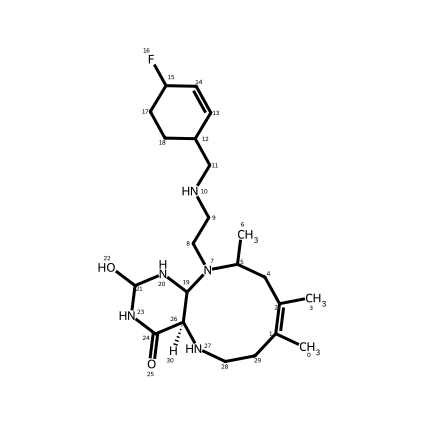 C/C1=C(\C)CC(C)N(CCNCC2C=CC(F)CC2)C2NC(O)NC(=O)[C@@H]2NCC1